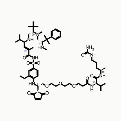 CCc1cc(S(=O)(=O)NC(=O)/C(C)=C/C(NC[C@@H](N(C)C[C@@H](NC)C(C)(C)c2ccccc2)C(C)(C)C)C(C)C)ccc1N[C@H](COCCOCCOCCC(=O)N[C@@H](C(=O)N[C@H](C)CCCNC(N)=O)C(C)C)N1C(=O)C=CC1=O